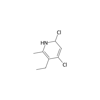 CCC1=C(C)NC(Cl)C=C1Cl